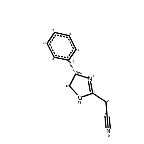 N#CCC1=N[C@@H](c2ccccc2)CO1